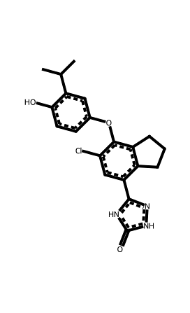 CC(C)c1cc(Oc2c(Cl)cc(-c3n[nH]c(=O)[nH]3)c3c2CCC3)ccc1O